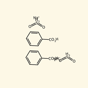 O=C(O)c1ccccc1.O=C(O)c1ccccc1.O=[SH2]=O.O=[SH2]=O.[NH2-].[Na+]